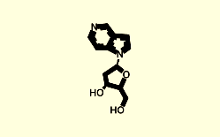 OCC1O[C@@H](n2ccc3cnccc32)C[C@@H]1O